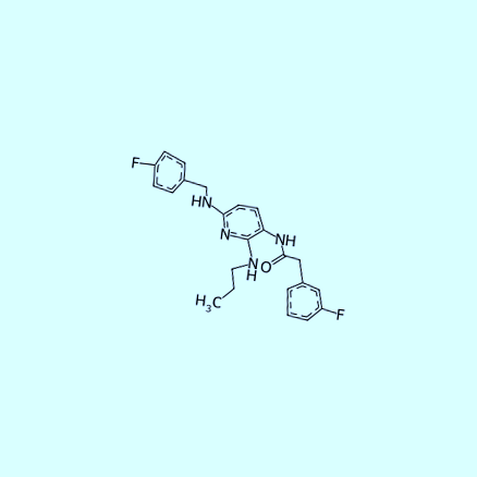 CCCNc1nc(NCc2ccc(F)cc2)ccc1NC(=O)Cc1cccc(F)c1